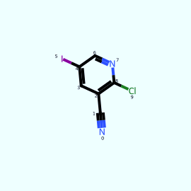 N#Cc1cc(I)cnc1Cl